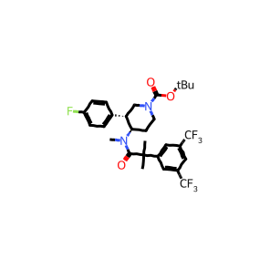 CN(C(=O)C(C)(C)c1cc(C(F)(F)F)cc(C(F)(F)F)c1)[C@@H]1CCN(C(=O)OC(C)(C)C)C[C@H]1c1ccc(F)cc1